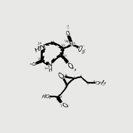 CCCC1OC1C(=O)O.O=c1[nH]cc([N+](=O)[O-])c(=O)[nH]1